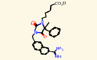 CCOC(=O)CCCCCN1C(=O)N(Cc2ccc3ccc(C(=N)N)cc3c2)C(=O)C1(C)c1ccccc1